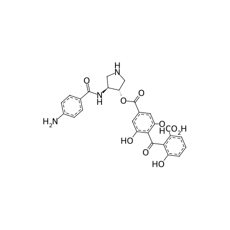 Nc1ccc(C(=O)N[C@H]2CNC[C@@H]2OC(=O)c2cc(O)c(C(=O)c3c(O)cccc3C(=O)O)c(O)c2)cc1